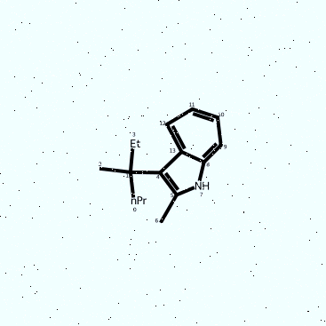 CCCC(C)(CC)c1c(C)[nH]c2ccccc12